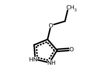 CCOc1c[nH][nH]c1=O